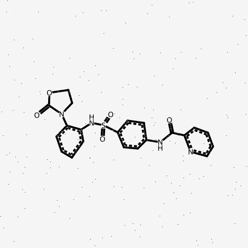 O=C(Nc1ccc(S(=O)(=O)Nc2ccccc2N2CCOC2=O)cc1)c1ccccn1